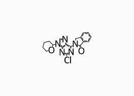 O=C1c2ccccc2CN1c1nc(Cl)nc2c1ncn2C1CCCCO1